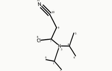 CC(C)N(C(C)C)C(Cl)CC#N